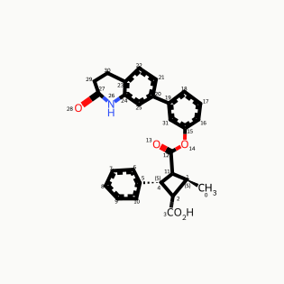 C[C@H]1C(C(=O)O)[C@H](c2ccccc2)C1C(=O)Oc1cccc(-c2ccc3c(c2)NC(=O)CC3)c1